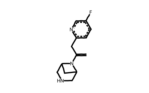 C=C(Cc1ccc(F)cn1)N1C2CNCC1C2